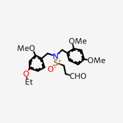 CCOc1ccc(CN(Cc2ccc(OC)cc2OC)[S+]([O-])CCC=O)c(OC)c1